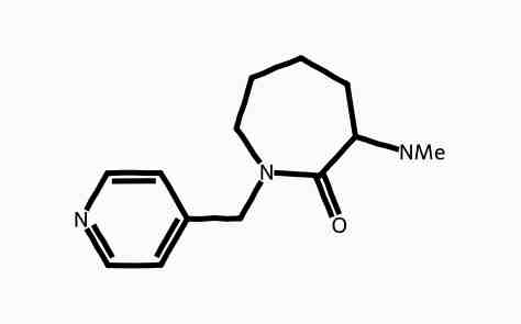 CNC1CCCCN(Cc2ccncc2)C1=O